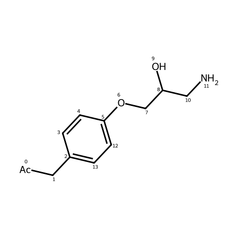 CC(=O)Cc1ccc(OCC(O)CN)cc1